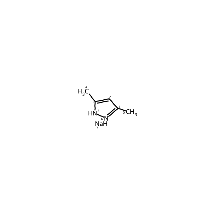 Cc1cc(C)[nH]n1.[NaH]